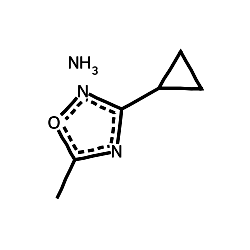 Cc1nc(C2CC2)no1.N